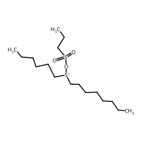 CCCCCCCC[S+](CCCCCC)OS(=O)(=O)CCC